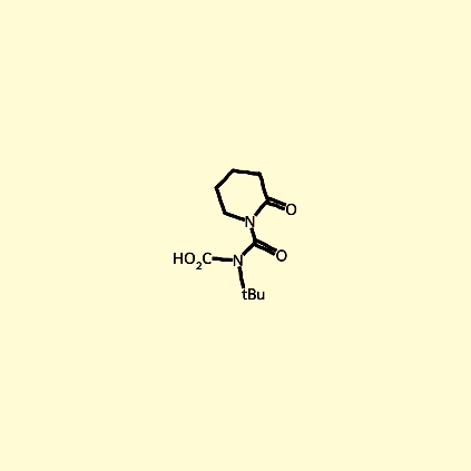 CC(C)(C)N(C(=O)O)C(=O)N1CCCCC1=O